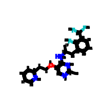 Cc1ncc(OCCc2ccccn2)c(NC(C)Cc2cccc(C(F)F)c2F)n1